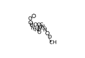 C#CCOc1ccc(N2CCN(C(=O)O)[C@H](N3C(=O)C4CN(Cc5ccc(Oc6ccccc6)cc5)CCN4C3=O)C2)cc1